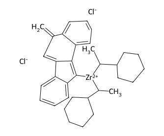 C=c1cc2c(c3ccccc13)=[C]([Zr+2]([CH](C)C1CCCCC1)[CH](C)C1CCCCC1)c1ccccc1-2.[Cl-].[Cl-]